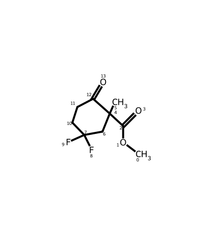 COC(=O)C1(C)CC(F)(F)CCC1=O